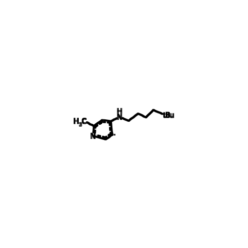 Cc1cc(NCCCCC(C)(C)C)[c]cn1